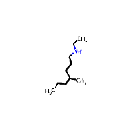 CCCC(C)CCCNCC